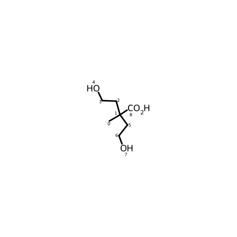 CC(CCO)(CCO)C(=O)O